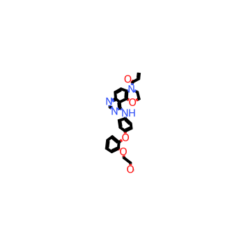 C=CC(=O)N1CCOc2c1ccc1ncnc(Nc3ccc(Oc4ccccc4OCCOC)cc3)c21